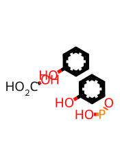 O=C(O)O.O=PO.Oc1ccccc1.Oc1ccccc1